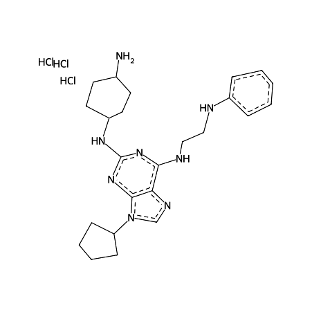 Cl.Cl.Cl.NC1CCC(Nc2nc(NCCNc3ccccc3)c3ncn(C4CCCC4)c3n2)CC1